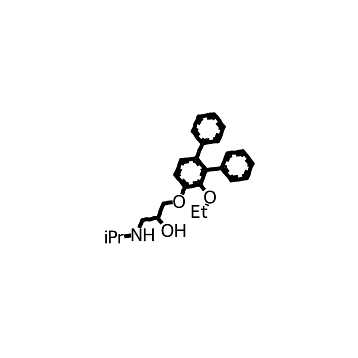 CCOc1c(OCC(O)CNC(C)C)ccc(-c2ccccc2)c1-c1ccccc1